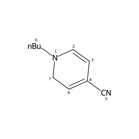 CCCCN1C=CC(C#N)=CC1